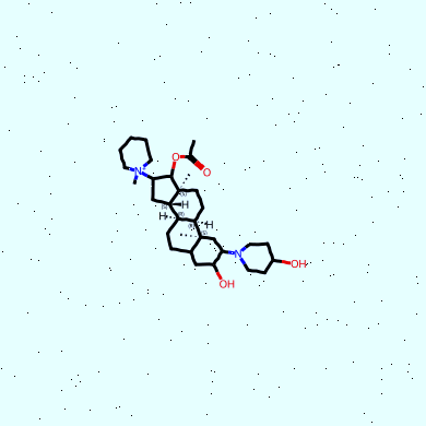 CC(=O)OC1C([N+]2(C)CCCCC2)C[C@H]2[C@@H]3CCC4CC(O)C(N5CCC(O)CC5)C[C@]4(C)[C@@H]3CC[C@]12C